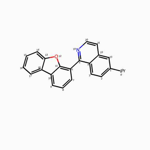 CC(C)c1ccc2c(-c3cccc4c3oc3ccccc34)nccc2c1